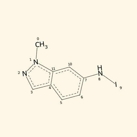 Cn1ncc2ccc(NI)cc21